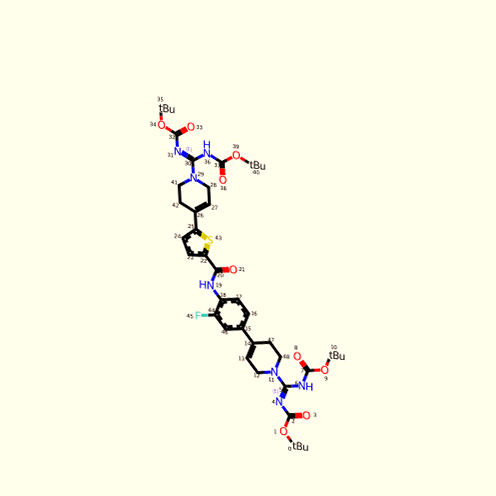 CC(C)(C)OC(=O)/N=C(\NC(=O)OC(C)(C)C)N1CC=C(c2ccc(NC(=O)c3ccc(C4=CCN(/C(=N/C(=O)OC(C)(C)C)NC(=O)OC(C)(C)C)CC4)s3)c(F)c2)CC1